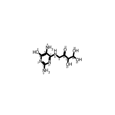 Nc1nc(O)c(N)c(NCC(=O)C(O)C(O)O)n1